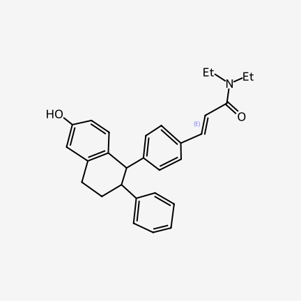 CCN(CC)C(=O)/C=C/c1ccc(C2c3ccc(O)cc3CCC2c2ccccc2)cc1